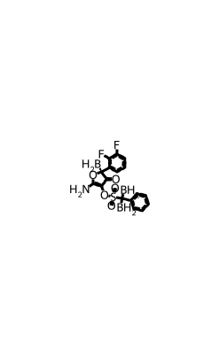 BC(B)(c1ccccc1)S(=O)(=O)OC1=C(N)O[C@](B)(c2cccc(F)c2F)C1=O